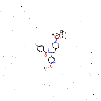 COc1ccc(C(CC2CCN(C(=O)OC(C)(C)C)CC2)NC(=O)c2ccc(F)cc2)cn1